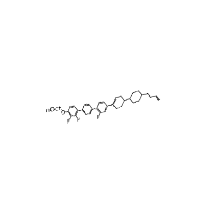 C=CCCC1CCC(C2CC=C(c3ccc(-c4ccc(-c5ccc(OCCCCCCCC)c(F)c5F)cc4)c(F)c3)CC2)CC1